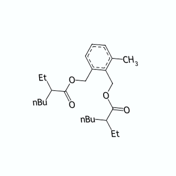 CCCCC(CC)C(=O)OCc1cccc(C)c1COC(=O)C(CC)CCCC